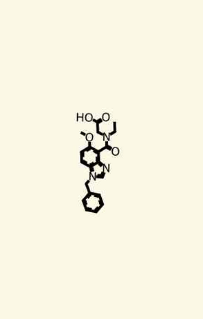 CCN(CC(=O)O)C(=O)c1c(OC)ccc2c1ncn2Cc1ccccc1